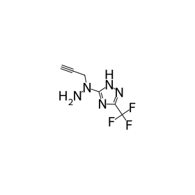 C#CCN(N)c1nc(C(F)(F)F)n[nH]1